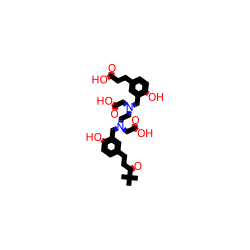 CC(C)(C)C(=O)CCc1ccc(O)c(CN(CCN(CC(=O)O)Cc2cc(CCC(=O)O)ccc2O)CC(=O)O)c1